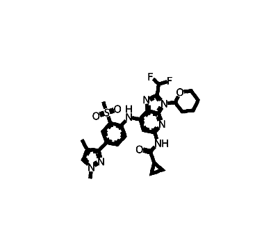 Cc1cn(C)nc1-c1ccc(Nc2cc(NC(=O)C3CC3)nc3c2nc(C(F)F)n3C2CCCCO2)c(S(C)(=O)=O)c1